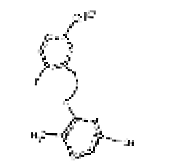 Cc1ccc(C)c(OCc2cc(C=O)ccc2I)c1